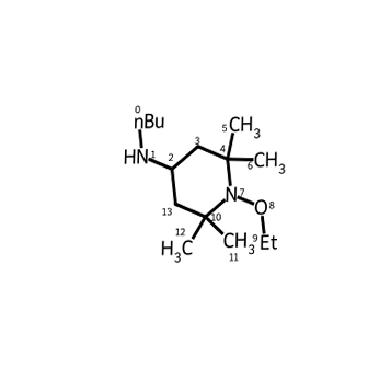 CCCCNC1CC(C)(C)N(OCC)C(C)(C)C1